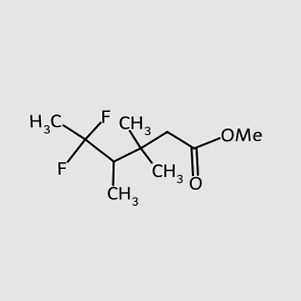 COC(=O)CC(C)(C)C(C)C(C)(F)F